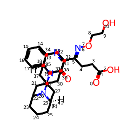 O=C(O)CCC(=NOCCO)c1nc2ccccc2n([C@@H]2CC3CCC[C@H](C2)N3C2CC3CCC[C@@H](C3)C2)c1=O